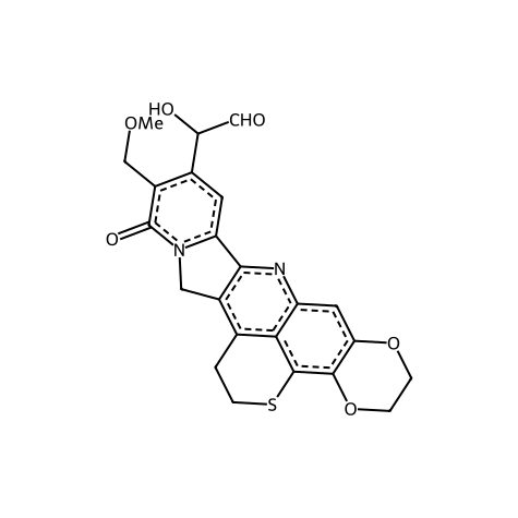 COCc1c(C(O)C=O)cc2n(c1=O)Cc1c-2nc2cc3c(c4c2c1CCS4)OCCO3